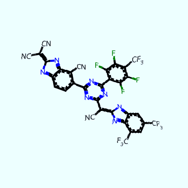 N#CC(C#N)=C1N=c2ccc(-c3nc(/C(C#N)=C4\N=c5cc(C(F)(F)F)cc(C(F)(F)F)c5=N4)nc(-c4c(F)c(F)c(C(F)(F)F)c(F)c4F)n3)c(C#N)c2=N1